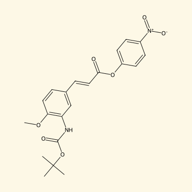 COc1ccc(C=CC(=O)Oc2ccc([N+](=O)[O-])cc2)cc1NC(=O)OC(C)(C)C